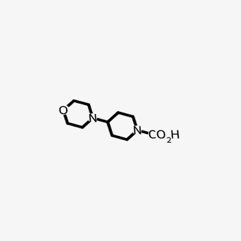 O=C(O)N1CCC(N2CCOCC2)CC1